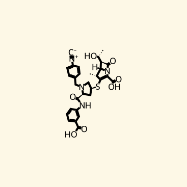 [C-]#[N+]c1ccc(CN2C[C@@H](SC3=C(C(=O)O)N4C(=O)[C@H]([C@@H](C)O)[C@H]4[C@H]3C)C[C@H]2C(=O)Nc2cccc(C(=O)O)c2)cc1